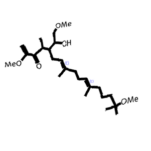 C=C(OC)C(=O)C(C)C(C/C=C(\C)CC/C=C(\C)CCCC(C)(C)OC)C(O)COC